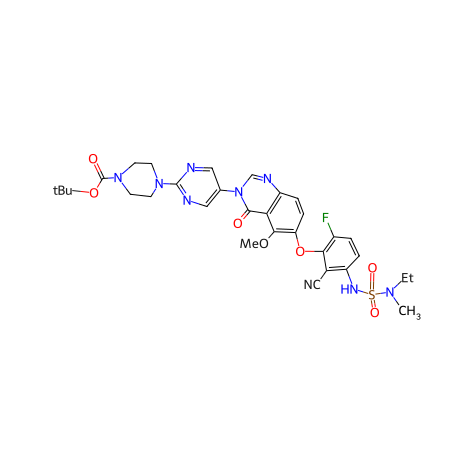 CCN(C)S(=O)(=O)Nc1ccc(F)c(Oc2ccc3ncn(-c4cnc(N5CCN(C(=O)OC(C)(C)C)CC5)nc4)c(=O)c3c2OC)c1C#N